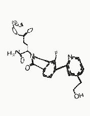 CCCCOC(=O)CC[C@@H](C(N)=O)N1Cc2c(ccc(-c3cc(CCO)ccn3)c2F)C1=O